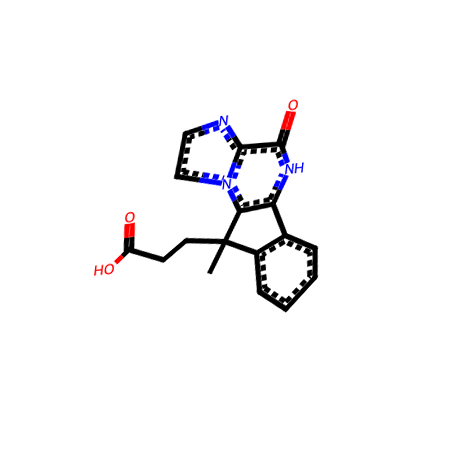 CC1(CCC(=O)O)c2ccccc2-c2[nH]c(=O)c3nccn3c21